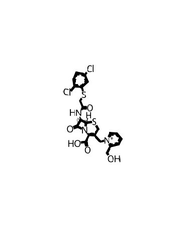 O=C(CSc1cc(Cl)ccc1Cl)N[C@H]1C(=O)N2C(C(=O)O)=C(C[n+]3ccccc3CO)CS[C@H]12